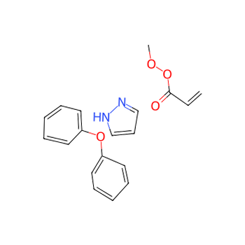 C=CC(=O)OOC.c1ccc(Oc2ccccc2)cc1.c1cn[nH]c1